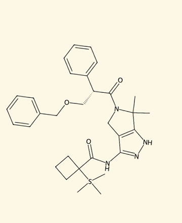 CC1(C)c2[nH]nc(NC(=O)C3(S(C)(C)C)CCC3)c2CN1C(=O)[C@H](COCc1ccccc1)c1ccccc1